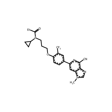 CCC(=O)N(CCCOc1ccc(-c2cc3c(ncn3C)c(C#N)n2)cc1C(F)(F)F)C1CC1